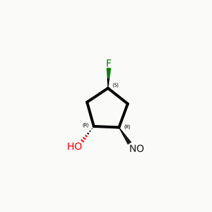 O=N[C@@H]1C[C@H](F)C[C@H]1O